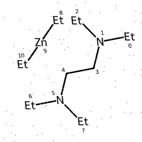 CCN(CC)CCN(CC)CC.C[CH2][Zn][CH2]C